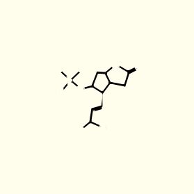 CCC(O)/C=C/[C@H]1C(O[Si](C)(C)C(C)(C)C)CC2OC(=O)CC21